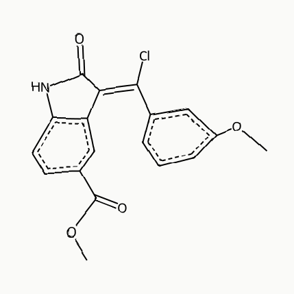 COC(=O)c1ccc2c(c1)/C(=C(/Cl)c1cccc(OC)c1)C(=O)N2